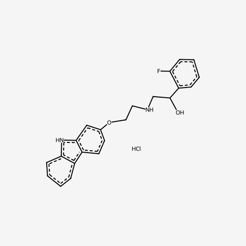 Cl.OC(CNCCOc1ccc2c(c1)[nH]c1ccccc12)c1ccccc1F